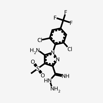 CS(=O)(=O)c1c(C(=N)NN)nn(-c2c(Cl)cc(C(F)(F)F)cc2Cl)c1N